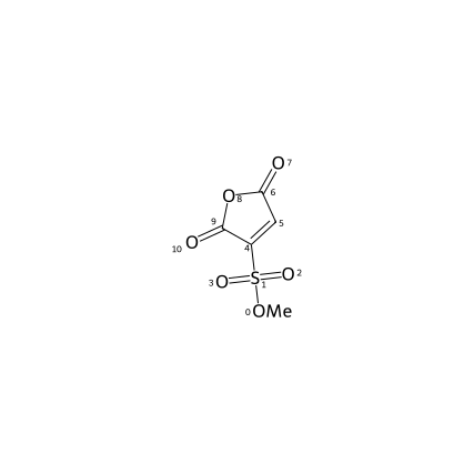 COS(=O)(=O)C1=CC(=O)OC1=O